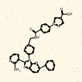 Nc1ncccc1-c1nc2ccc(-c3ccccc3)nc2n1-c1ccc(CNC(=O)c2ccc(-n3cc(C(=O)O)cn3)cc2)cc1